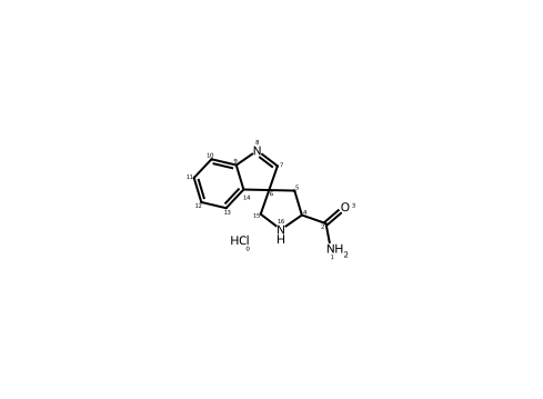 Cl.NC(=O)C1CC2(C=Nc3ccccc32)CN1